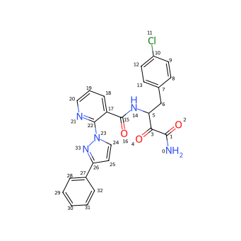 NC(=O)C(=O)C(Cc1ccc(Cl)cc1)NC(=O)c1cccnc1-n1ccc(-c2ccccc2)n1